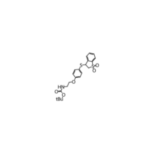 CC(C)(C)OC(=O)NCCOc1ccc(SC2CS(=O)(=O)c3ccccc32)cc1